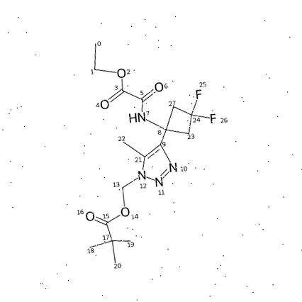 CCOC(=O)C(=O)NC1(c2nnn(COC(=O)C(C)(C)C)c2C)CC(F)(F)C1